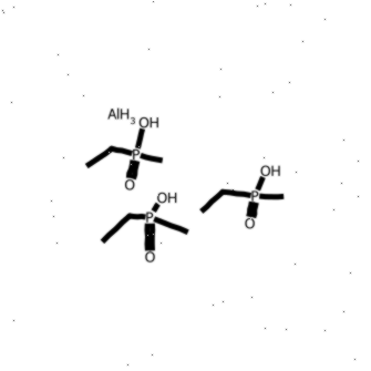 CCP(C)(=O)O.CCP(C)(=O)O.CCP(C)(=O)O.[AlH3]